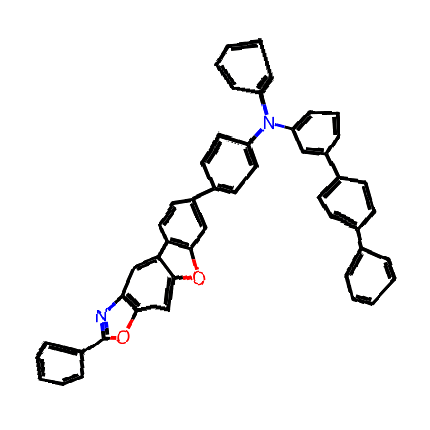 c1ccc(-c2ccc(-c3cccc(N(c4ccccc4)c4ccc(-c5ccc6c(c5)oc5cc7oc(-c8ccccc8)nc7cc56)cc4)c3)cc2)cc1